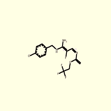 C=C(/N=C\C(F)=C(/N)NCc1ccc(Cl)cc1)OCC(F)(F)F